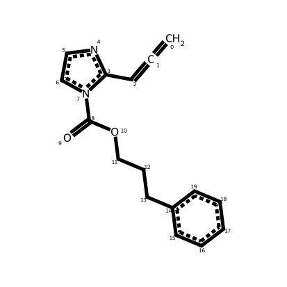 C=C=Cc1nccn1C(=O)OCCCc1ccccc1